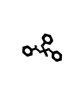 O=P(ONc1ccccc1)(Oc1ccccc1)Oc1ccccc1